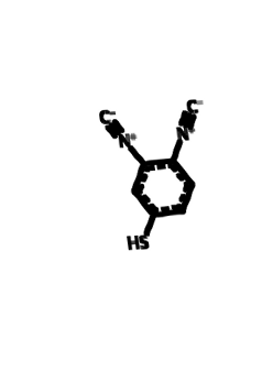 [C-]#[N+]c1ccc(S)cc1[N+]#[C-]